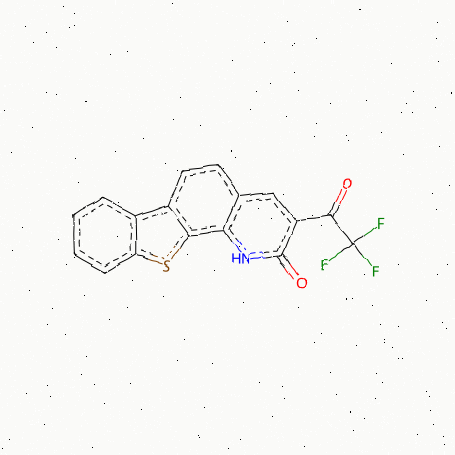 O=C(c1cc2ccc3c4ccccc4sc3c2[nH]c1=O)C(F)(F)F